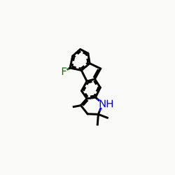 CC1=c2cc3c(cc2NC(C)(C)C1)=Cc1cccc(F)c1-3